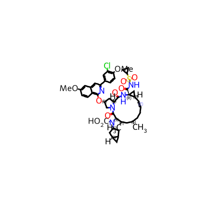 COc1ccc2c(O[C@@H]3C[C@H]4C(=O)N[C@]5(C(=O)NS(=O)(=O)C6CC6)C[C@H]5/C=C\CC[C@H](C)C[C@@H](C)[C@H](N(C(=O)O)[C@H]5CC6C[C@H]6C5)C(=O)N4C3)nc(-c3ccc(OC)c(Cl)c3)cc2c1